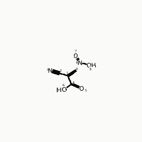 C=C(C#N)C(=O)O.O=NO